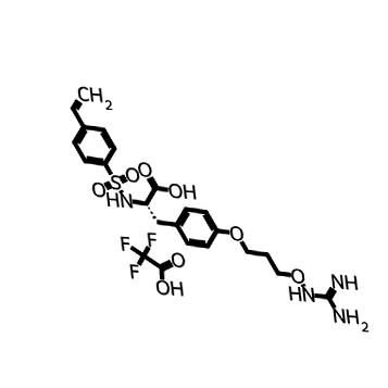 C=Cc1ccc(S(=O)(=O)N[C@@H](Cc2ccc(OCCCONC(=N)N)cc2)C(=O)O)cc1.O=C(O)C(F)(F)F